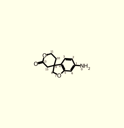 Nc1ccc2c(c1)OCC21CCOC(=O)C1